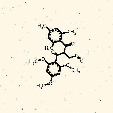 COc1cc(OC)c(C(=O)C(CP=O)C(=O)c2c(C)cc(C)cc2C)c(OC)c1